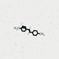 CC1CCC(/C(F)=C(\F)C23C=C(F)C(C)(CC2)CC3)CC1